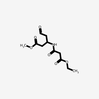 CCOC(=O)CC(=O)NC(CC=O)CC(=O)OC